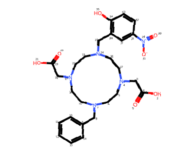 O=C(O)CN1CCN(Cc2ccccc2)CCN(CC(=O)O)CCN(Cc2cc([N+](=O)[O-])ccc2O)CC1